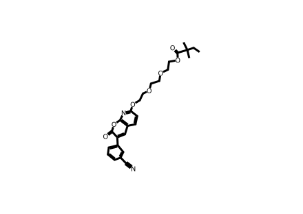 CCC(C)(C)C(=O)OCCOCCOCCOc1ccc2cc(-c3cccc(C#N)c3)c(=O)oc2n1